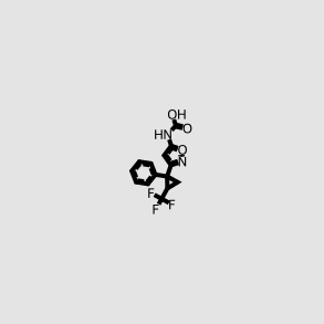 O=C(O)Nc1cc(C2(c3ccccc3)CC2C(F)(F)F)no1